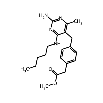 CCCCCNc1nc(N)nc(C)c1Cc1ccc(CC(=O)OC)cc1